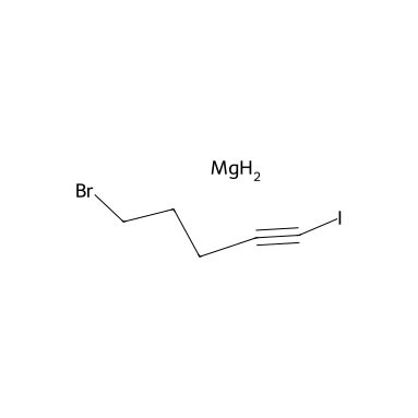 BrCCCC#CI.[MgH2]